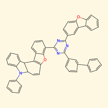 C1=CC2C(c3ccccc3N2c2ccccc2)c2c1oc1c(-c3nc(-c4cccc(-c5ccccc5)c4)nc(-c4ccc5oc6ccccc6c5c4)n3)cccc21